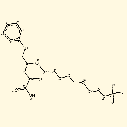 C=C(CC(COc1ccccc1)OCCOCCOCCOC(C)(C)C)C(=O)O